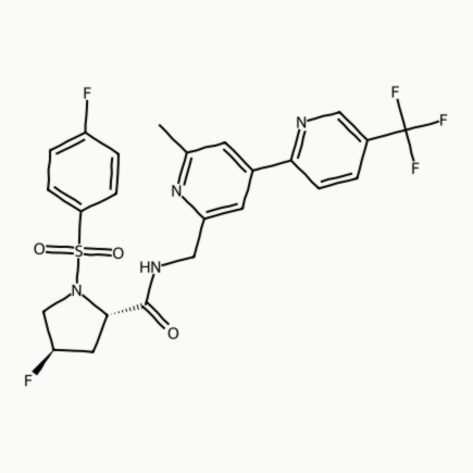 Cc1cc(-c2ccc(C(F)(F)F)cn2)cc(CNC(=O)[C@@H]2C[C@@H](F)CN2S(=O)(=O)c2ccc(F)cc2)n1